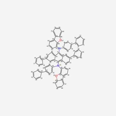 c1ccc(-c2ccc(N(c3c4ccc(-c5ccccc5)cc4c(N(c4ccc(-c5ccccc5)cc4)c4cccc5c4oc4ccccc45)c4ccc(-c5ccccc5)cc34)c3cccc4c3oc3ccccc34)cc2)cc1